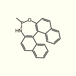 Cp1[nH]c2ccc3ccccc3c2c2c(ccc3ccccc32)o1